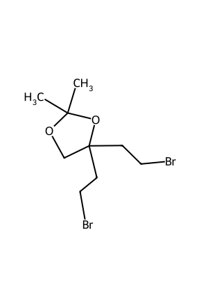 CC1(C)OCC(CCBr)(CCBr)O1